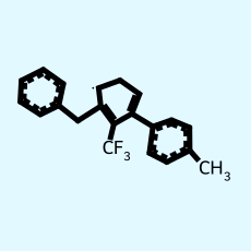 Cc1ccc(C2=CC[CH]C(Cc3ccccc3)=C2C(F)(F)F)cc1